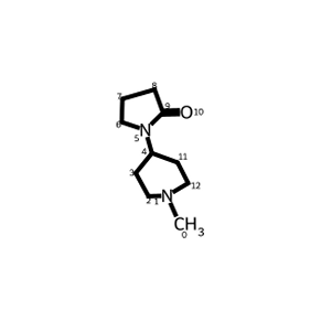 CN1CCC(N2CCCC2=O)CC1